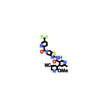 COc1ncc(C#N)cc1-c1cc(C)ncc1C(=O)Nc1nc2c(s1)CN(C(=O)c1ccc(C(F)F)cn1)C2